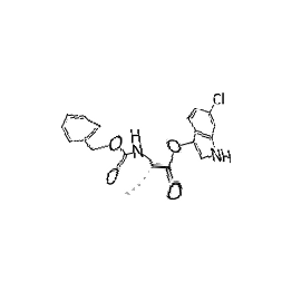 C[C@H](NC(=O)OCc1ccccc1)C(=O)Oc1c[nH]c2cc(Cl)ccc12